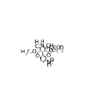 CCOC(=O)C1=C(C)NC(C)=C(C(=O)OCC2(C)CCCOO2)C1c1cccc([N+](=O)[O-])c1